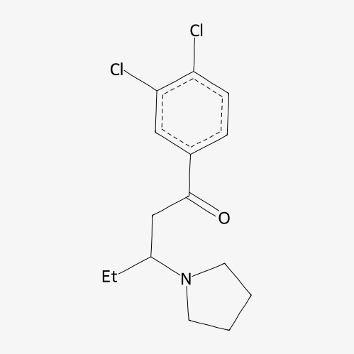 CCC(CC(=O)c1ccc(Cl)c(Cl)c1)N1CCCC1